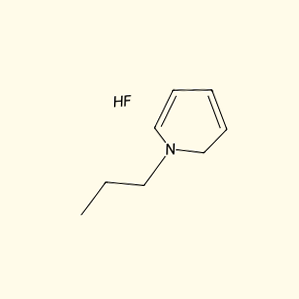 CCCN1C=CC=CC1.F